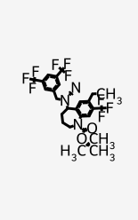 CCc1cc2c(cc1C(F)(F)F)N(C(=O)OC(C)(C)C)CCCC2N(C#N)Cc1cc(C(F)(F)F)cc(C(F)(F)F)c1